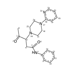 CC(=O)C(CC(=O)Nc1ccccc1)N1CCN(c2ccccn2)CC1